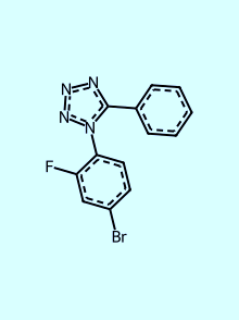 Fc1cc(Br)ccc1-n1nnnc1-c1ccccc1